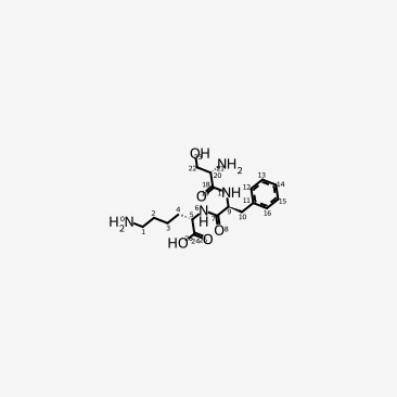 NCCCC[C@H](NC(=O)[C@H](Cc1ccccc1)NC(=O)[C@@H](N)CO)C(=O)O